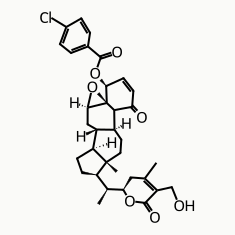 CC1=C(CO)C(=O)O[C@@H]([C@@H](C)[C@H]2CC[C@H]3[C@@H]4C[C@H]5O[C@@]56C(C(=O)C=C[C@@H]6OC(=O)c5ccc(Cl)cc5)[C@H]4CC[C@]23C)C1